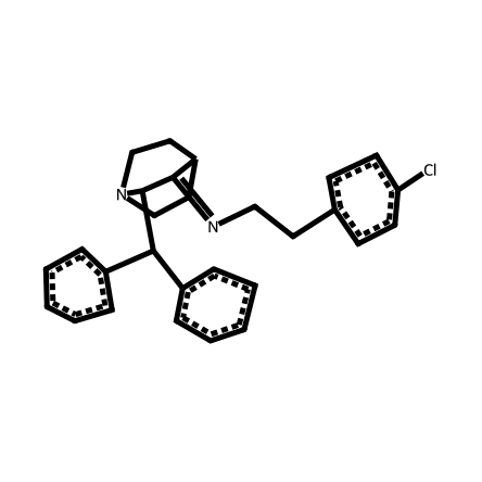 Clc1ccc(CCN=C2C3CCN(CC3)C2C(c2ccccc2)c2ccccc2)cc1